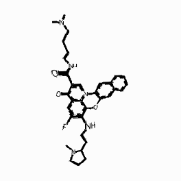 CN(C)CCCCNC(=O)c1cn2c3c(c(NCCC4CCCN4C)c(F)cc3c1=O)Oc1cc3ccccc3cc1-2